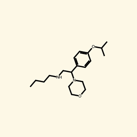 CCCCNCC(c1ccc(OC(C)C)cc1)N1CCOCC1